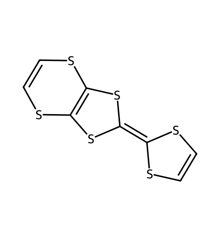 C1=CSC(=C2SC3=C(SC=CS3)S2)S1